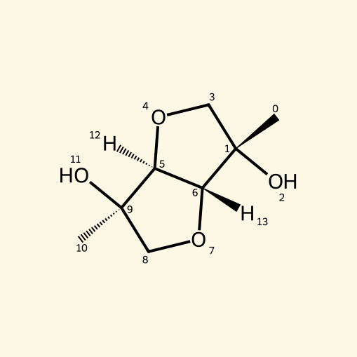 C[C@]1(O)CO[C@H]2[C@H]1OC[C@@]2(C)O